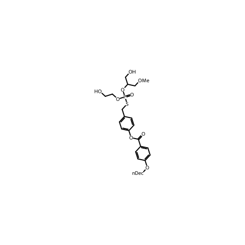 CCCCCCCCCCOc1ccc(C(=O)Oc2ccc(CSP(=O)(OCCO)OC(CO)COC)cc2)cc1